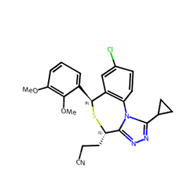 COc1cccc([C@@H]2S[C@@H](CCC#N)c3nnc(C4CC4)n3-c3ccc(Cl)cc32)c1OC